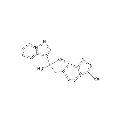 CC(C)(C)c1nnc2cc(CC(C)(C)c3cnn4ccccc34)ccn12